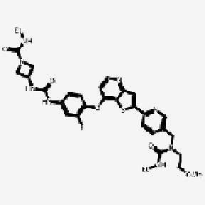 CCNC(=O)N(CCOC)Cc1ccc(-c2cc3nccc(Oc4ccc(NC(=O)NC5CN(C(=O)NCC)C5)cc4F)c3s2)nc1